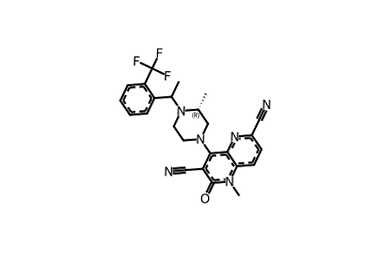 CC(c1ccccc1C(F)(F)F)N1CCN(c2c(C#N)c(=O)n(C)c3ccc(C#N)nc23)C[C@H]1C